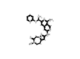 CC(Oc1ccccn1)c1cc2cc(Nc3cc4n(n3)CC(=O)N(C(C)C)CC4)ncc2c(N)n1